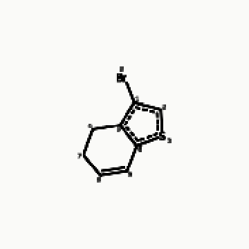 Brc1csc2c1CCC=C2